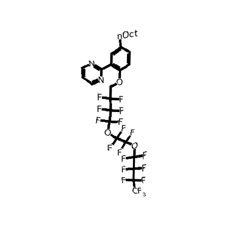 CCCCCCCCc1ccc(OCC(F)(F)C(F)(F)C(F)(F)OC(F)(F)C(F)(F)OC(F)(F)C(F)(F)C(F)(F)C(F)(F)F)c(-c2ncccn2)c1